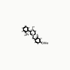 COc1ccc(CN2CCN(I)C(c3ccccc3C(C)C)C2)c(F)c1